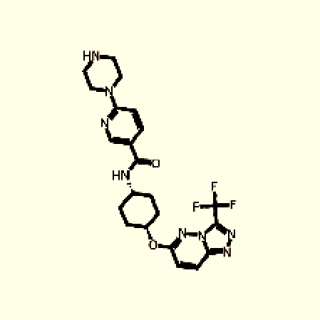 O=C(N[C@H]1CC[C@H](Oc2ccc3nnc(C(F)(F)F)n3n2)CC1)c1ccc(N2CCNCC2)nc1